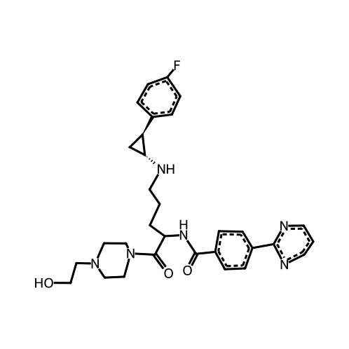 O=C(NC(CCCN[C@@H]1C[C@H]1c1ccc(F)cc1)C(=O)N1CCN(CCO)CC1)c1ccc(-c2ncccn2)cc1